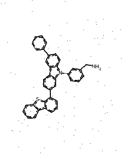 NCc1cccc(-n2c3ccc(-c4ccccc4)cc3c3ccc(-c4cccc5c4sc4ccccc45)cc32)c1